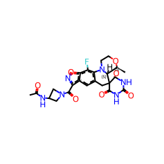 CC(=O)NC1CN(C(=O)c2noc3c(F)c4c(cc23)CC2(C(=O)NC(=O)NC2=O)[C@H]2[C@H](C)OCCN42)C1